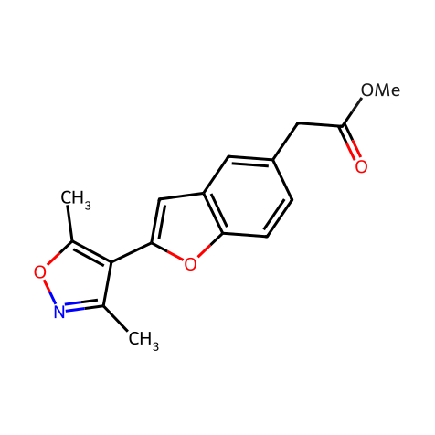 COC(=O)Cc1ccc2oc(-c3c(C)noc3C)cc2c1